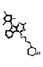 Cc1cc(C)c(-n2c3ccccc3c3c(OCCCC4CCCNC4)nc(C)nc32)c(C)c1